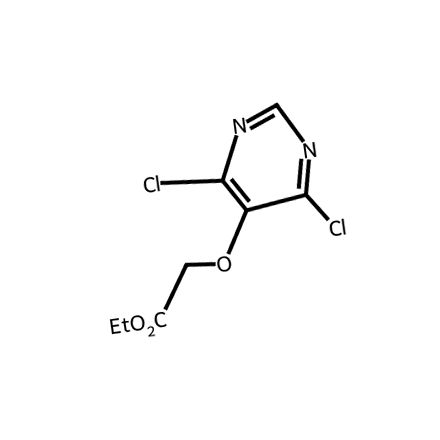 CCOC(=O)COc1c(Cl)ncnc1Cl